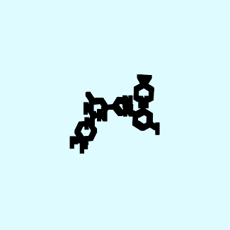 Cc1cc(-c2cnn(-c3ccc(I)cc3N3CCC4(CC3)CC4)c2)nc(N2CCC(F)(F)CC2)n1